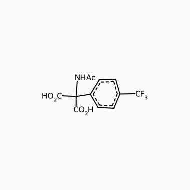 CC(=O)NC(C(=O)O)(C(=O)O)c1ccc(C(F)(F)F)cc1